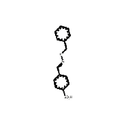 O=S(=O)(O)c1ccc(C=NOCc2ccccc2)cc1